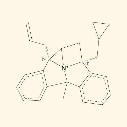 C=CC[C@]12c3ccccc3C3(C)c4ccccc4[C@]4(CC5CC5)CC1[N+]342